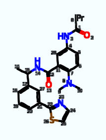 CC(C)C(=O)Nc1ccc(N(C)C)c(C(=O)NC(C)c2cccc(-c3nccs3)c2)c1